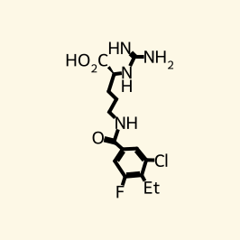 CCc1c(F)cc(C(=O)NCCC[C@H](NC(=N)N)C(=O)O)cc1Cl